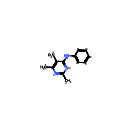 Cc1nc(C)c([N+](=O)[O-])c(Nc2c[c]ccc2)n1